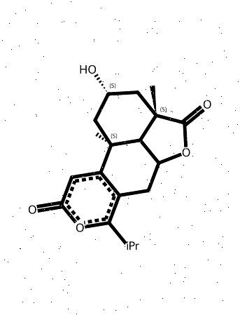 CC(C)c1oc(=O)cc2c1CC1OC(=O)[C@@]3(C)C[C@@H](O)C[C@@]2(C)C13